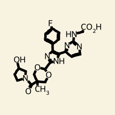 CC1(C(=O)N2CCC(O)C2)COC(c2nc(-c3ccc(F)cc3)c(-c3ccnc(NCC(=O)O)n3)[nH]2)OC1